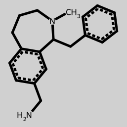 CN1CCCc2ccc(CN)cc2C1Cc1ccccc1